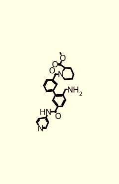 COC(=O)C1CCCCN1C(=O)c1cccc(-c2cc(C(=O)Nc3ccncc3)ccc2CN)c1